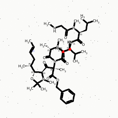 C/C=C/C[C@@H](C)[C@H]1OC(C)(C)N(C)[C@@H]1C(=O)[C@](C)(C(=O)OCc1ccccc1)N(C(=O)C(N)CC)C(=O)[C@H](C)N(C)C(=O)[C@@H](NC(=O)[C@H](CC(C)C)N(C)C(=O)CNC)C(C)C